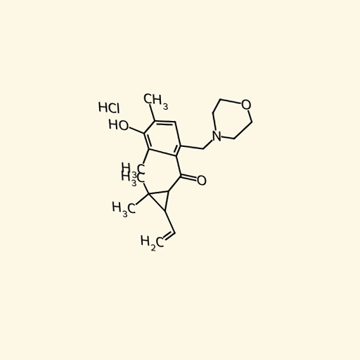 C=CC1C(C(=O)c2c(CN3CCOCC3)cc(C)c(O)c2C)C1(C)C.Cl